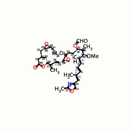 CO[C@@H](/C(C)=C/C=C/C(C)=C/c1coc(C)n1)[C@@H](C)[C@@H](CC[C@@]1(C)O[C@@H]1/C=C/[C@@H](C)[C@H]1C[C@H](C[C@H]2O[C@H]2C)CC(=O)O1)OC=O